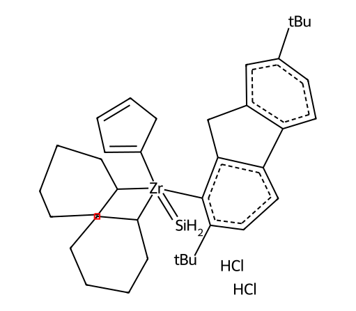 CC(C)(C)c1ccc2c(c1)Cc1c-2ccc(C(C)(C)C)[c]1[Zr](=[SiH2])([C]1=CC=CC1)([CH]1CCCCC1)[CH]1CCCCC1.Cl.Cl